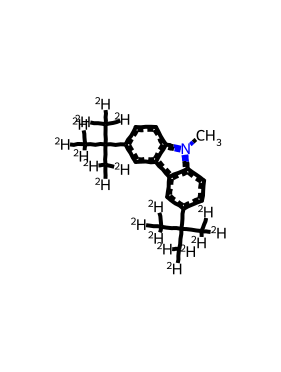 [2H]C([2H])([2H])C(c1ccc2c(c1)c1cc(C(C([2H])([2H])[2H])(C([2H])([2H])[2H])C([2H])([2H])[2H])ccc1n2C)(C([2H])([2H])[2H])C([2H])([2H])[2H]